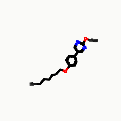 CCCCCCCCCOc1ncc(-c2ccc(OCCCCCCC(C)C)cc2)cn1